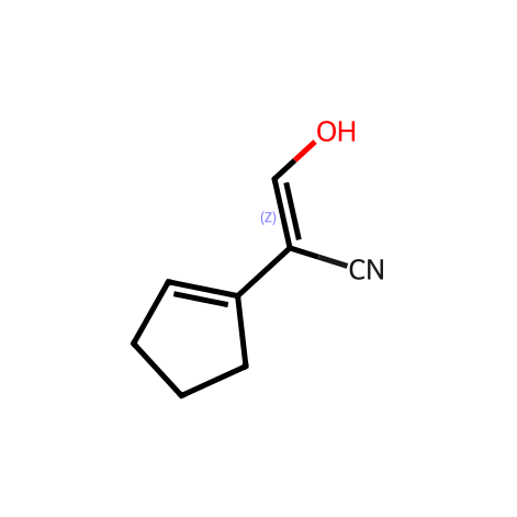 N#C/C(=C\O)C1=CCCC1